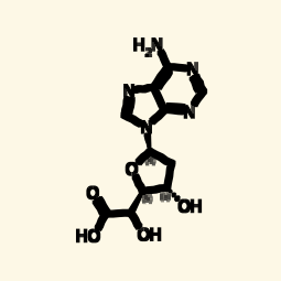 Nc1ncnc2c1ncn2[C@H]1C[C@H](O)[C@@H](C(O)C(=O)O)O1